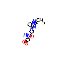 Cc1cc2nc(N3CCC(C(=O)Nc4ccc5c(c4)OCO5)CC3)c3c(n2n1)CCCC3